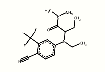 CCC(C(=O)N(C)C)N(CC)c1ccc(C#N)c(C(F)(F)F)c1